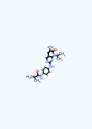 Cc1cc2cnc(N[C@H]3CC[C@H](NC(=O)C(C)C)CC3)nc2n(C(C)C)c1=O